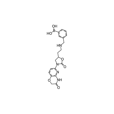 O=C1COc2ccc(N3CC(CCNCc4cccc(B(O)O)c4)OC3=O)nc2N1